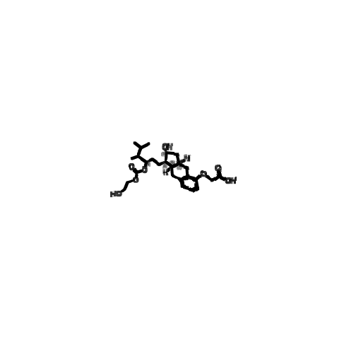 CC(C)C(C)[C@@H](CC[C@@H]1[C@H]2Cc3cccc(OCC(=O)O)c3C[C@H]2C[C@H]1O)OC(=O)OCCO